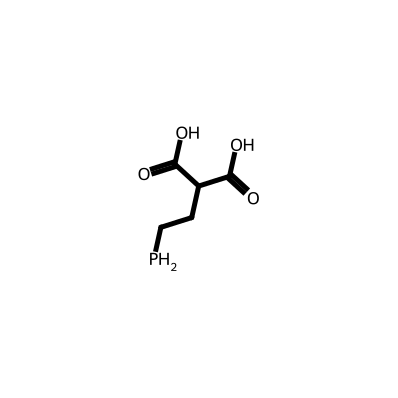 O=C(O)C(CCP)C(=O)O